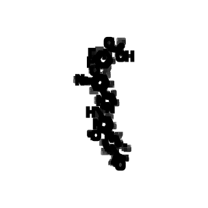 COc1nc(Nc2nccc(-c3ccc(OC4CCN(C(=O)C(C)O)CC4(F)F)c(C#N)c3)n2)ccc1N1CCN(C2COC2)[C@@H](C)C1